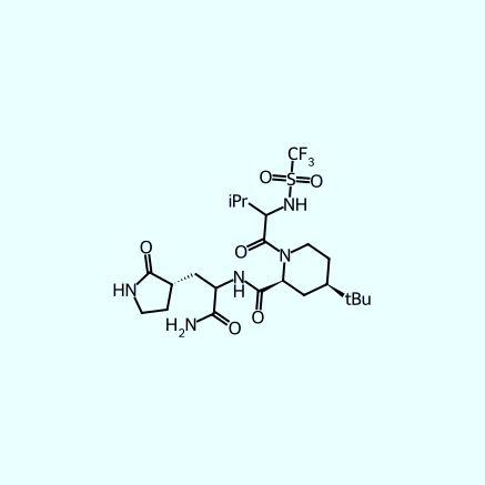 CC(C)C(NS(=O)(=O)C(F)(F)F)C(=O)N1CC[C@@H](C(C)(C)C)C[C@H]1C(=O)NC(C[C@@H]1CCNC1=O)C(N)=O